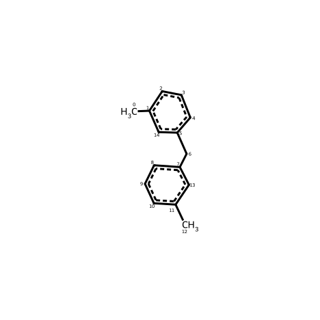 Cc1cccc(Cc2cccc(C)c2)c1